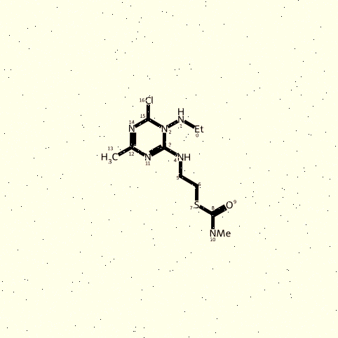 CCNN1C(NCCSC(=O)NC)=NC(C)=NC1Cl